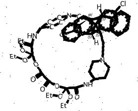 CCOC1(OCC)OC(=O)C(=O)OC(OCC)(OCC)C(=O)NC2CCN(CC2)C[C@@]23c4ccccc4[C@@H](c4ccc(Cl)cc42)C32[C@H]3c4ccccc4[C@@]2(CN2CCC(CC2)NC1=O)c1cc(Cl)ccc13